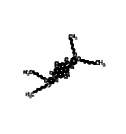 CCCCCCCCOc1cc2nc3c4cc(Cl)c5c6c(Cl)cc7c8c(cc(Cl)c(c9c(Cl)cc(c(=O)n3c2cc1OCCCCCCCC)c4c95)c68)c(=O)n1c2cc(OCCCCCCCC)c(OCCCCCCCC)cc2nc71